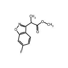 COC(=O)C(C)c1noc2cc(F)ccc12